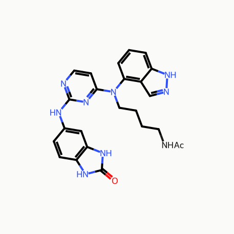 CC(=O)NCCCCN(c1ccnc(Nc2ccc3[nH]c(=O)[nH]c3c2)n1)c1cccc2[nH]ncc12